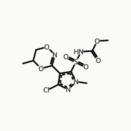 COC(=O)NS(=O)(=O)c1c(C2=NOCC(C)O2)c(Cl)nn1C